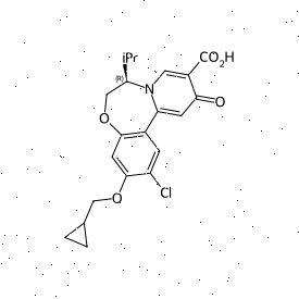 CC(C)[C@@H]1COc2cc(OCC3CC3)c(Cl)cc2-c2cc(=O)c(C(=O)O)cn21